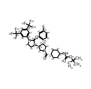 CC(C)(C)OC(=O)N[C@H]1CC[C@H](C(=O)N2C[C@@H](N3CCN(c4cc(C(F)(F)F)cc(C(F)(F)F)c4)C3=O)[C@H](c3ccc(F)cc3)C2)CC1